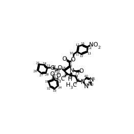 C[C@H]([C@H]1C(=O)N2C(C(=O)OCc3ccc([N+](=O)[O-])cc3)=C(OP(=O)(Oc3ccccc3)Oc3ccccc3)[C@H](C)[C@H]12)n1cnnn1